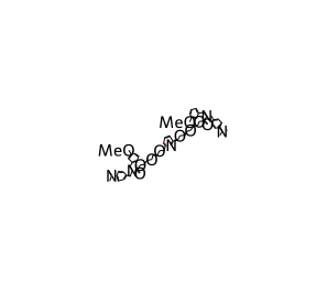 COc1cccc(CN(Cc2ccc(N(C)C)cc2)C(=O)OCCOCCOCc2cccc(COCCOCCOC(=O)N(Cc3ccc(N(C)C)cc3)Cc3cccc(OC)c3)n2)c1